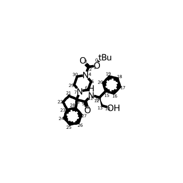 CC(C)(C)OC(=O)N1CCN(C2(C(=O)N[C@H](CO)c3ccccc3)CCc3ccccc32)CC1